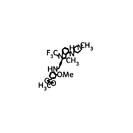 COc1cc(S(C)(=O)=O)ccc1NCC#Cc1c(C)c2c(NC3CCN(C)CC3)cccc2n1CC(F)(F)F